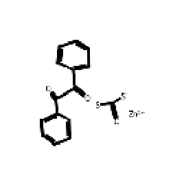 O=C(C(=O)c1ccccc1)c1ccccc1.O=C([S-])[S-].[Zn+2]